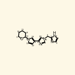 c1c[nH]c(Cn2cnc(-c3ccn(C4CCCCO4)c3)c2)n1